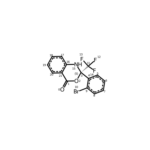 O=C1O[C@@](c2ccccc2Br)(C(F)(F)F)Nc2ccccc21